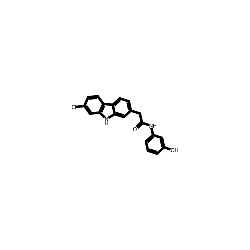 O=C(Cc1ccc2c(c1)[nH]c1cc(Cl)ccc12)Nc1cccc(O)c1